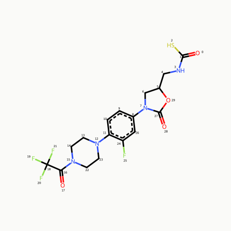 O=C(S)NCC1CN(c2ccc(N3CCN(C(=O)C(F)(F)F)CC3)c(F)c2)C(=O)O1